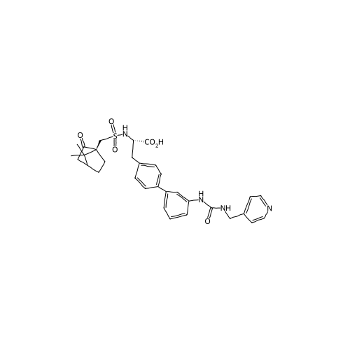 CC1(C)C2CC[C@@]1(CS(=O)(=O)N[C@@H](Cc1ccc(-c3cccc(NC(=O)NCc4ccncc4)c3)cc1)C(=O)O)C(=O)C2